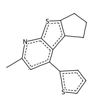 Cc1[c]c(-c2cccs2)c2c3c(sc2n1)CCC3